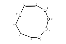 C1=COOOOCCCC1